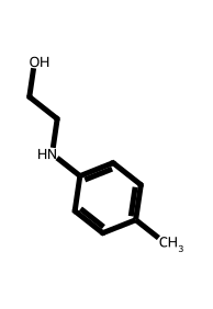 Cc1ccc(NCCO)cc1